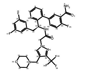 NC(=O)c1cc(-c2cccnc2[C@H](Cc2cc(F)cc(F)c2)NC(=O)Cn2cc(CN3CCOCC3)c(C(F)(F)F)n2)ccc1F